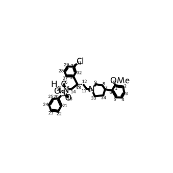 COc1ccccc1C1CCN(CC[C@H](CN(C)S(=O)(=O)c2ccccc2)c2cccc(Cl)c2)CC1